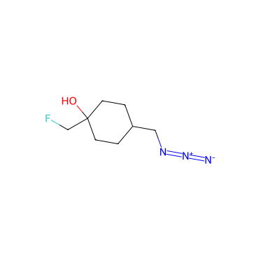 [N-]=[N+]=NCC1CCC(O)(CF)CC1